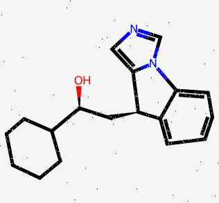 O[C@@H](C[C@@H]1c2ccccc2-n2cncc21)C1CCCCC1